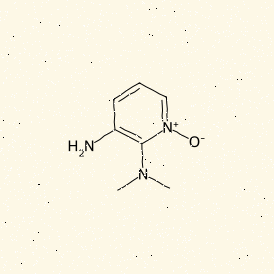 CN(C)c1c(N)ccc[n+]1[O-]